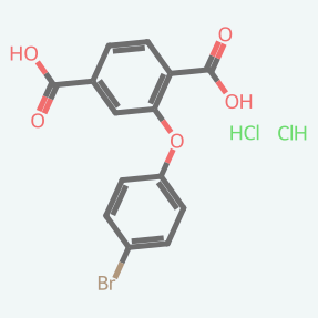 Cl.Cl.O=C(O)c1ccc(C(=O)O)c(Oc2ccc(Br)cc2)c1